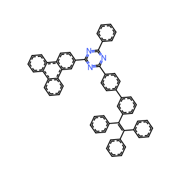 c1ccc(C(=C(c2ccccc2)c2cccc(-c3ccc(-c4nc(-c5ccccc5)nc(-c5ccc6c7ccccc7c7ccccc7c6c5)n4)cc3)c2)c2ccccc2)cc1